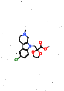 COC(=O)C1(Cn2c3c(c4cc(Cl)ccc42)CCN(C)C3)OCCO1